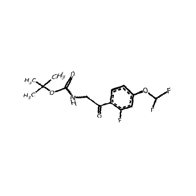 CC(C)(C)OC(=O)NCC(=O)c1ccc(OC(F)F)cc1F